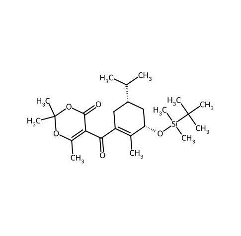 CC1=C(C(=O)C2=C(C)[C@@H](O[Si](C)(C)C(C)(C)C)C[C@@H](C(C)C)C2)C(=O)OC(C)(C)O1